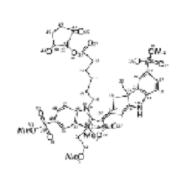 COCCC1(C)C(/C=C/C=C2/Nc3ccc(S(=O)(=O)OC)cc3C2(C)CCCS(=O)(=O)OC)=[N+](CCCCCC(=O)ON2C(=O)CCC2=O)c2ccc(S(=O)(=O)OC)cc21